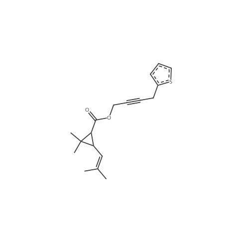 CC(C)=CC1C(C(=O)OCC#CCc2cccs2)C1(C)C